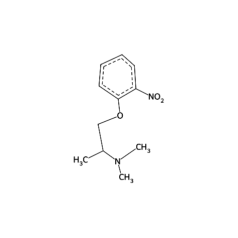 CC(COc1ccccc1[N+](=O)[O-])N(C)C